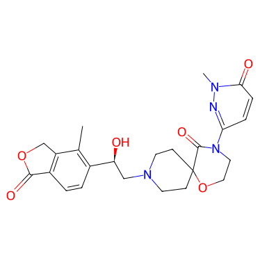 Cc1c([C@@H](O)CN2CCC3(CC2)OCCN(c2ccc(=O)n(C)n2)C3=O)ccc2c1COC2=O